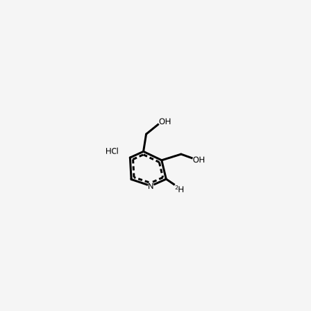 Cl.[2H]c1nccc(CO)c1CO